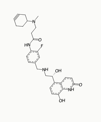 CN(CCC(=O)Nc1ccc(CNC[C@H](O)c2ccc(O)c3[nH]c(=O)ccc23)cc1F)C1CC#CCC1